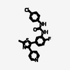 Cc1nc(-c2ccncc2)c(-c2ccc(F)c(NC(=O)Nc3ccc(Cl)cc3)c2)s1